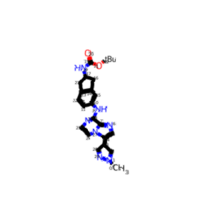 CN1CC(c2cnc3c(Nc4ccc5c(c4)CC(NC(=O)OC(C)(C)C)C5)nccn23)C=N1